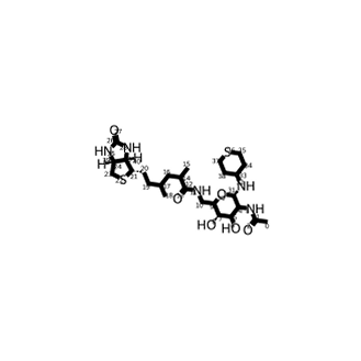 CC(=O)NC1C(O)[C@H](O)C(CNC(=O)C(C)CC(C)CC[C@@H]2SC[C@@H]3NC(=O)N[C@@H]32)O[C@H]1NC1CCSCC1